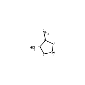 Cl.NC1CC[Se]C1